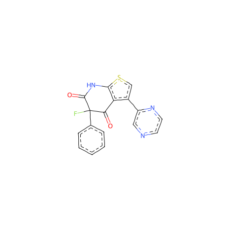 O=C1Nc2scc(-c3cnccn3)c2C(=O)C1(F)c1ccccc1